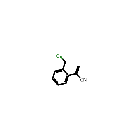 C=C(C#N)c1ccccc1CCl